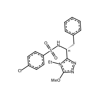 CCn1c(OC)nnc1[C@@H](Cc1ccccc1)NS(=O)(=O)c1ccc(Cl)cc1